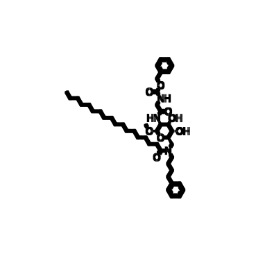 CCCCCCCCCCCCCCCCCC(=O)N(CCCCc1ccccc1)C[C@H]1O[C@H](OC)[C@H](NC(=O)CNC(=O)OCc2ccccc2)[C@@H](O)[C@@H]1O